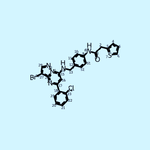 O=C(Cc1cccs1)Nc1ccc(CNc2cc(-c3ccccc3Cl)nc3c(Br)cnn23)cc1